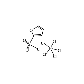 ClP(Cl)(Cl)(Cl)Cl.O=S(=O)(Cl)c1ccco1